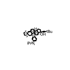 CC(C)N(C)c1ccc([C@H]2C[C@@]3(C)[C@@H](CC[C@@]3(O)C#CC(C)(C)C)[C@@H]3CCC4=CC5(CC[C@@H]4[C@H]32)SCCS5)cc1